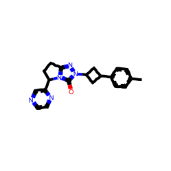 Cc1ccc(C2CC(n3nc4n(c3=O)C(c3cnccn3)CC4)C2)cc1